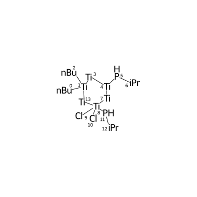 CCC[CH2][Ti]1([CH2]CCC)[Ti][Ti]([PH]C(C)C)[Ti][Ti]([Cl])([Cl])([PH]C(C)C)[Ti]1